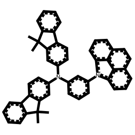 CC1(C)c2ccccc2-c2ccc(N(c3cccc(-n4c5cccc6ccc7cccc4c7c65)c3)c3ccc4c(c3)C(C)(C)c3ccccc3-4)cc21